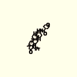 CC(C)C1=C2[C@H]3CC[C@@H]4[C@@]5(C)CCC(NC(=O)C6CCOCC6)C(C)(C)[C@@H]5CC[C@@]4(C)[C@]3(C)CC[C@@]2(C)CC1=O